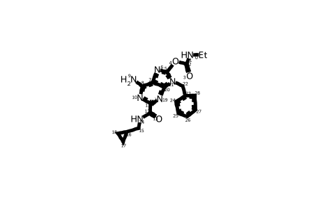 CCNC(=O)Oc1nc2c(N)nc(C(=O)NCC3CC3)nc2n1Cc1ccccc1